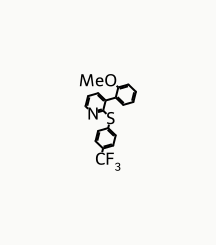 COc1ccccc1-c1cccnc1Sc1ccc(C(F)(F)F)cc1